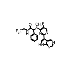 CN(c1nc(-c2c[nH]c3ncncc23)ncc1F)C(C(=O)NCC(F)(F)F)c1ccccc1